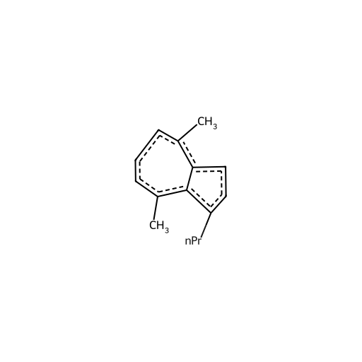 CCCc1ccc2c(C)cccc(C)c1-2